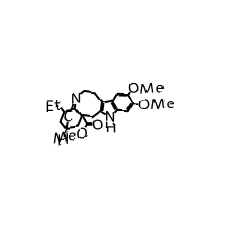 CCC1C[C@@H]2CN3CCc4c([nH]c5cc(OC)c(OC)cc45)CC(C(=O)OC)(C2)C13